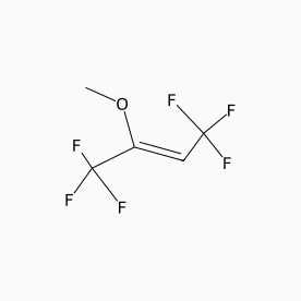 COC(=CC(F)(F)F)C(F)(F)F